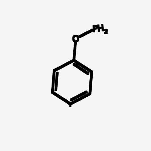 POc1cc[c]cc1